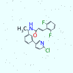 CC(NC(=O)C=Cc1c(F)cccc1F)c1cccc(-c2ccc(Cl)nc2)c1